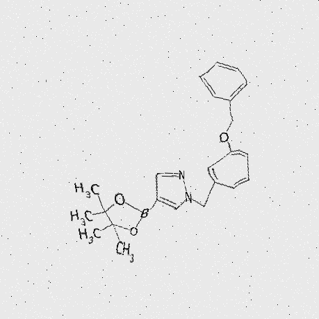 CC1(C)OB(c2cnn(Cc3cccc(OCc4ccccc4)c3)c2)OC1(C)C